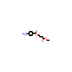 CCOC(=O)CCCOC(=O)c1ccc(N)cc1